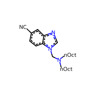 CCCCCCCCN(CCCCCCCC)Cn1cnc2cc(C#N)ccc21